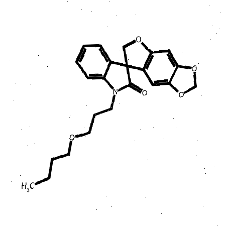 CCCCOCCCN1C(=O)C2(COc3cc4c(cc32)OCO4)c2ccccc21